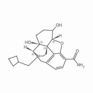 NC(=O)c1ccc2c3c1O[C@H]1C(O)CC[C@@]4(O)[C@@H](C2)N(CC2CCC2)CC[C@]314